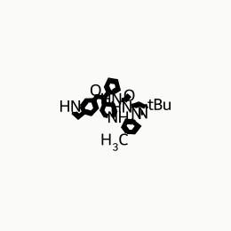 Cc1ccc(-n2nc(C(C)(C)C)cc2NC(=O)Nc2ccccc2C(C(=O)c2ccc3cc[nH]c3c2)C2CCNCC2)cc1